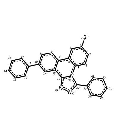 Brc1ccc2c(c1)c1ccc(-c3ccccc3)cc1c1nnc(-c3ccccc3)n21